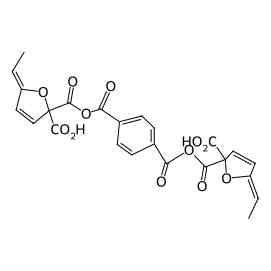 CC=C1C=CC(C(=O)O)(C(=O)OC(=O)c2ccc(C(=O)OC(=O)C3(C(=O)O)C=CC(=CC)O3)cc2)O1